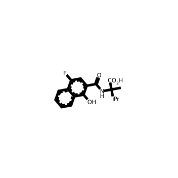 CC(C)C(C)(NC(=O)c1cc(F)c2ccccc2c1O)C(=O)O